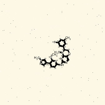 COc1nc(Nc2ncc3c(n2)N(C)C(c2cc(C)cc(F)c2)CO3)ccc1-c1cnn(C)c1